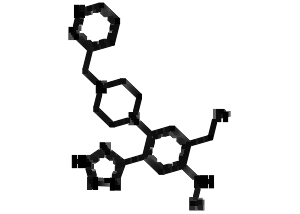 CCNc1cc(-c2nn[nH]n2)c(N2CCN(Cc3cccnn3)CC2)cc1CC(C)C